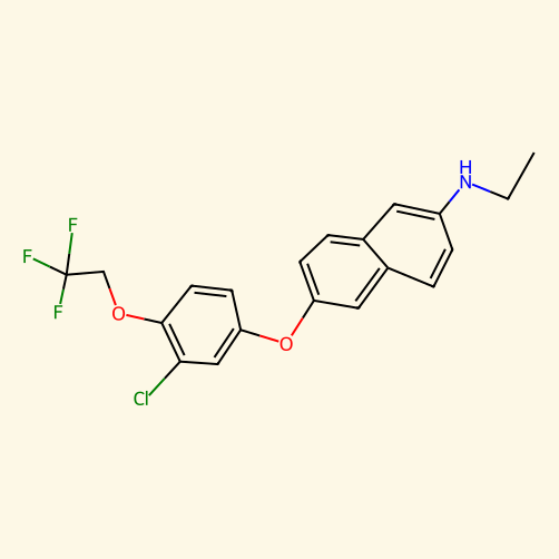 CCNc1ccc2cc(Oc3ccc(OCC(F)(F)F)c(Cl)c3)ccc2c1